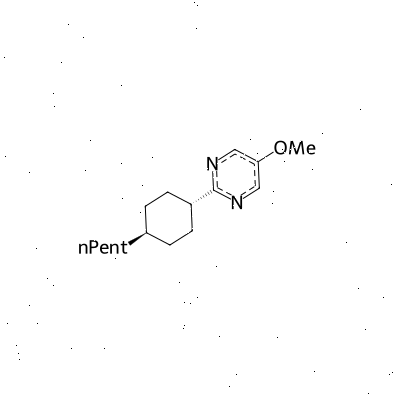 CCCCC[C@H]1CC[C@H](c2ncc(OC)cn2)CC1